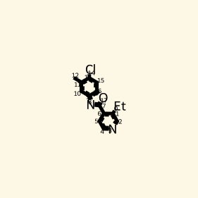 CCc1cnccc1-c1nc2cc(C)c(Cl)cc2o1